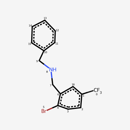 FC(F)(F)c1ccc(Br)c(CNCc2ccccc2)c1